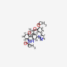 COc1ccc(-c2ccnn2-c2ccc(-c3ccccc3NC(C)=O)cc2)cc1OC1CCOC1